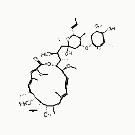 C/C=C/[C@H]1O[C@@](O)([C@@H](C)[C@H](O)[C@H](C)[C@H]2OC(=O)/C(OC)=C/C(C)=C/[C@@H](C)[C@@H](O)[C@@H](CC)[C@@H](O)[C@H](C)C/C(C)=C/C=C/[C@@H]2OC)C[C@@H](O[C@@H]2C[C@H](O)[C@@H](O)[C@H](C)O2)[C@@H]1C